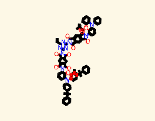 C=Cc1nc(-n2c(=O)c3cc4c(=O)n(-c5cccc(N(c6ccccc6)c6ccccc6)c5OC(=O)C(=C)C)c(=O)c4cc3c2=O)nc(-n2c(=O)c3cc4c(=O)n(-c5cccc(N(c6ccc(C(C)(C)c7ccccc7)cc6)c6ccc(C(C)(C)c7ccccc7)cc6)c5OC(=O)C(=C)C)c(=O)c4cc3c2=O)n1